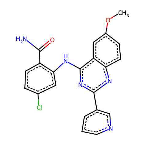 COc1ccc2nc(-c3cccnc3)nc(Nc3cc(Cl)ccc3C(N)=O)c2c1